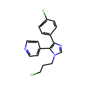 Fc1ccc(-c2ncn(CCCCl)c2-c2ccncc2)cc1